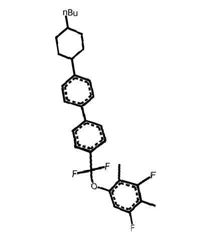 CCCCC1CCC(c2ccc(-c3ccc(C(F)(F)Oc4cc(F)c(C)c(F)c4C)cc3)cc2)CC1